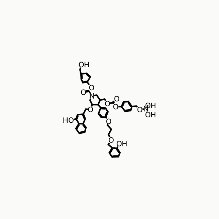 O=C(OCC1CN(C(=O)Oc2ccc(CO)cc2)CC(OCc2cc(O)c3ccccc3c2)C1c1ccc(OCCCOCc2ccccc2O)cc1)Oc1ccc(CON(O)O)cc1